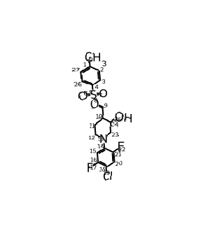 Cc1ccc(S(=O)(=O)OCC2CCN(c3cc(F)c(Cl)cc3F)CC2O)cc1